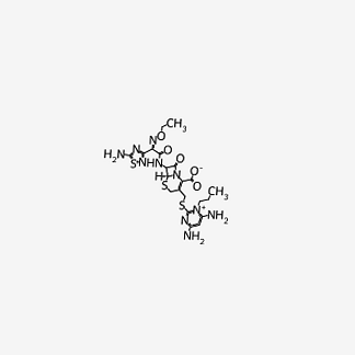 CCC[n+]1c(N)cc(N)nc1SCC1=C(C(=O)[O-])N2C(=O)C(NC(=O)/C(=N\OCC)c3nsc(N)n3)[C@H]2SC1